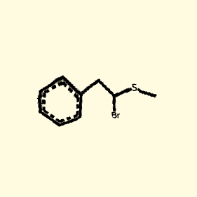 CSC(Br)Cc1ccccc1